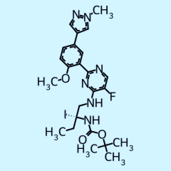 CC[C@@](I)(CNc1nc(-c2cc(-c3cnn(C)c3)ccc2OC)ncc1F)NC(=O)OC(C)(C)C